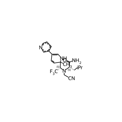 CC(C)C[C@@H](C(N)=O)N(CC#N)[C@H](C(F)(F)F)C1(C)C=CC(c2cccnc2)=CN1